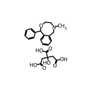 CN1CCOC(c2ccccc2)c2ccccc2C1.O=C(O)CC(O)(CC(=O)O)C(=O)O